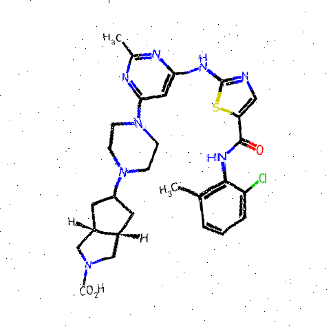 Cc1nc(Nc2ncc(C(=O)Nc3c(C)cccc3Cl)s2)cc(N2CCN(C3C[C@@H]4CN(C(=O)O)C[C@@H]4C3)CC2)n1